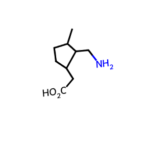 CC1CCC(CC(=O)O)C1CN